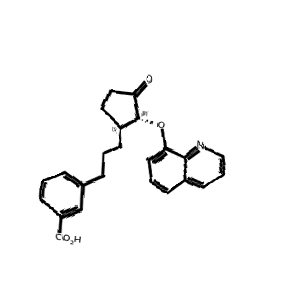 O=C(O)c1cccc(CCC[C@H]2CCC(=O)[C@@H]2Oc2cccc3cccnc23)c1